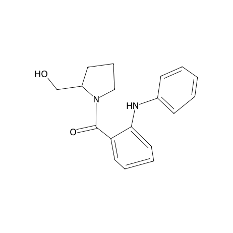 O=C(c1ccccc1Nc1ccccc1)N1CCCC1CO